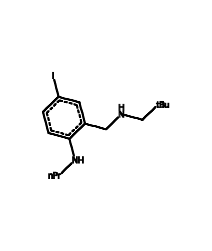 CCCNc1ccc(I)cc1CNCC(C)(C)C